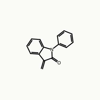 C=C1C(=O)N(c2ccccc2)c2ccccc21